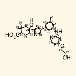 Cc1cc(Nc2nccc(OCCO)n2)cc(-c2cnc(C3(O)CCC(C(=O)O)C(C)(C)C3)s2)c1